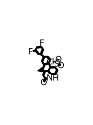 O=c1ccc2c(-c3ccc(-c4cc(F)cc(F)c4)cc3C3CC3)c(S(=O)(=O)Cl)ccc2[nH]1